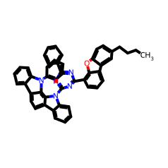 CCCCc1ccc2oc3c(-c4nc(-c5ccccc5)nc(-n5c6ccccc6c6ccc7c8ccccc8n(-c8ccccc8)c7c65)n4)cccc3c2c1